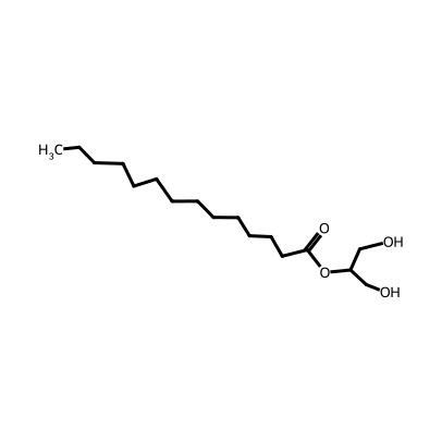 CCCCCCCCCCCCCC(=O)OC(CO)CO